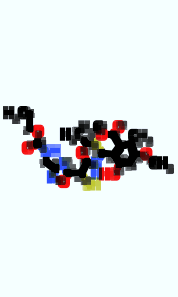 C=CCOC(=O)NCc1noc(C(S)C(=O)NC(SCC)c2c(O)cc(OC)c(C)c2C(=O)OC)n1